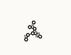 c1ccc(-n2c3ccccc3c3c4c5cc(-c6ccc7sc8ccccc8c7c6)cc6c7nc8ccccc8nc7n(c4ccc32)c65)cc1